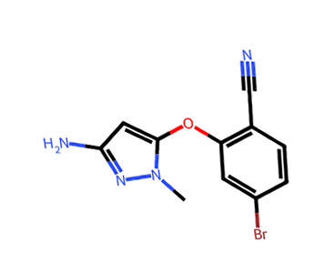 Cn1nc(N)cc1Oc1cc(Br)ccc1C#N